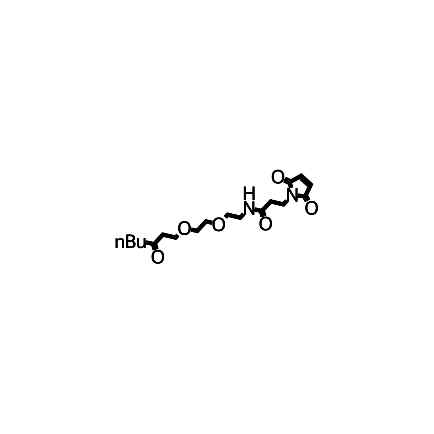 CCCCC(=O)CCOCCOCCNC(=O)CCN1C(=O)C=CC1=O